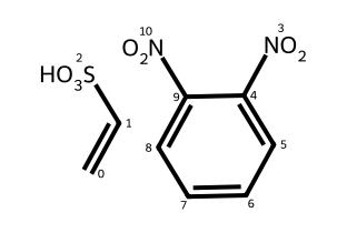 C=CS(=O)(=O)O.O=[N+]([O-])c1ccccc1[N+](=O)[O-]